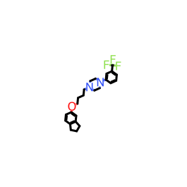 FC(F)(F)c1cccc(N2CCN(CCCCOc3ccc4c(c3)CCC4)CC2)c1